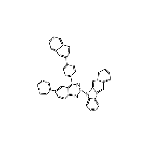 c1ccc(-c2ccc3nc(-n4c5ccccc5c5cc6ccccc6cc54)nc(-c4ccc(-c5ccc6ccccc6c5)cc4)c3c2)cc1